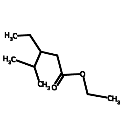 CCOC(=O)CC(CC)C(C)C